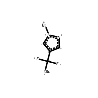 CCn1cc(C(F)(F)C(C)(C)C)cn1